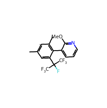 COc1ncccc1-c1c(C)[c]c(C)cc1C(F)(C(F)(F)F)C(F)(F)F